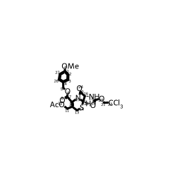 COc1ccc(COC(=O)C2=C(COC(C)=O)CS[C@@H]3[C@@H](NC(=O)OCC(Cl)(Cl)Cl)C(=O)N23)cc1